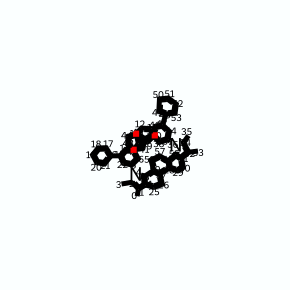 Cc1c(C)n(-c2cc(-c3ccccc3)cc(-c3ccccc3)c2)c2c1ccc1c3ccc4c(C)c(C)n(-c5cc(-c6ccccc6)cc(-c6ccccc6)c5)c4c3ccc12